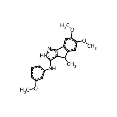 COc1cccc(Nc2[nH]nc3c2C(C)c2cc(OC)c(OC)cc2-3)c1